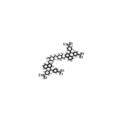 CCN(CC)c1ccc(C(=C2C=CC(=[N+](CC)CC)C=C2)c2ccc(CC3CCC(CC4CCC(Cc5ccc(C(=C6C=CC(=[N+](CC)CC)C=C6)c6ccc(N(CC)CC)cc6)c6ccccc56)C(C)C4)CC3C)c3ccccc23)cc1